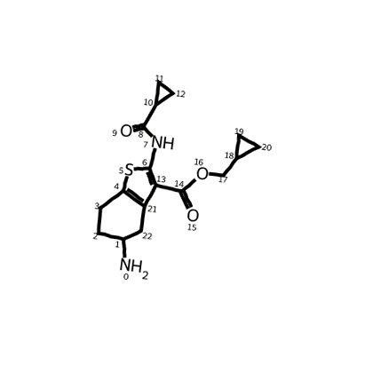 NC1CCc2sc(NC(=O)C3CC3)c(C(=O)OCC3CC3)c2C1